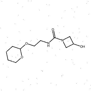 O=C(NCCOC1CCCCO1)N1CC(O)C1